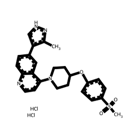 Cc1n[nH]cc1-c1ccc2nccc(N3CCC(Oc4ccc(S(C)(=O)=O)cc4)CC3)c2c1.Cl.Cl